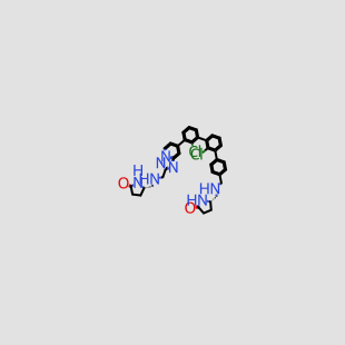 O=C1CC[C@@H](CNCc2ccc(-c3cccc(-c4cccc(-c5ccn6nc(CNC[C@@H]7CCC(=O)N7)nc6c5)c4Cl)c3Cl)cc2)N1